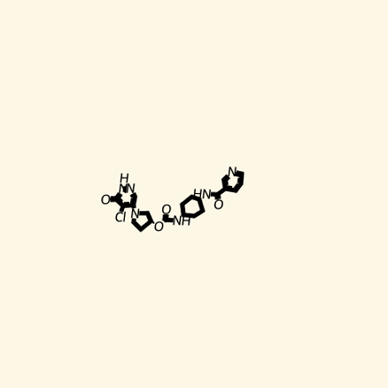 O=C(N[C@H]1CC[C@H](NC(=O)c2cccnc2)CC1)O[C@@H]1CCN(c2cn[nH]c(=O)c2Cl)C1